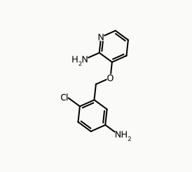 Nc1ccc(Cl)c(COc2cccnc2N)c1